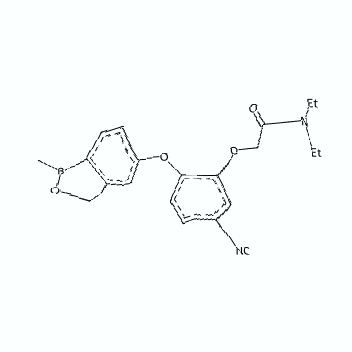 [C-]#[N+]c1ccc(Oc2ccc3c(c2)COB3C)c(OCC(=O)N(CC)CC)c1